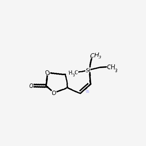 C[Si](C)(C)/C=C\C1COC(=O)O1